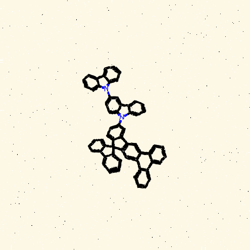 c1ccc2c(c1)-c1ccccc1C21c2ccc(-n3c4ccccc4c4cc(-n5c6ccccc6c6ccccc65)ccc43)cc2-c2cc3c4ccccc4c4ccccc4c3cc21